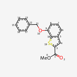 COC(=O)c1cc2cccc(OCc3ccccc3)c2s1